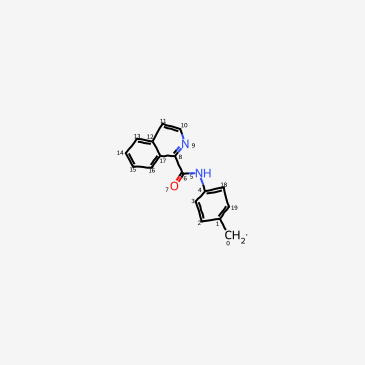 [CH2]c1ccc(NC(=O)c2nccc3ccccc23)cc1